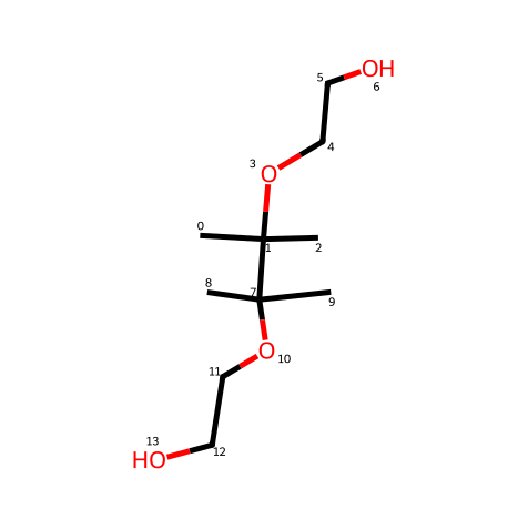 CC(C)(OCCO)C(C)(C)OCCO